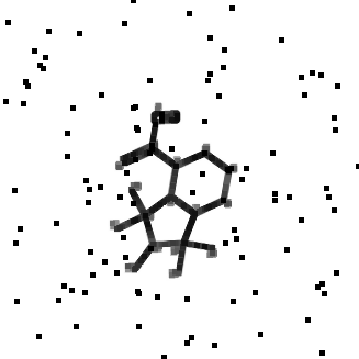 C=C(C=O)C1CCCC2C1C(C)(C)C(C)C2(C)C